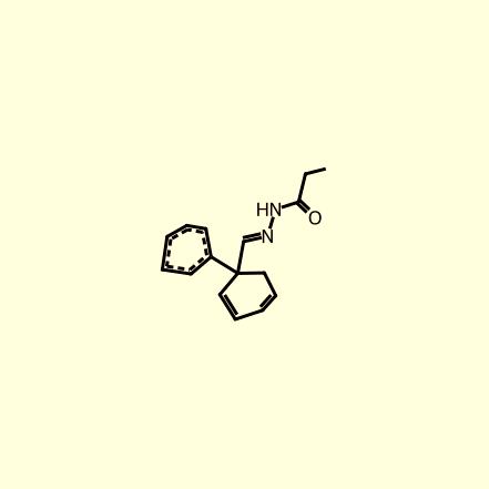 CCC(=O)NN=CC1(c2ccccc2)C=CC=CC1